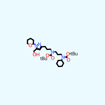 CC(C)(C)OC(=O)N(CCCc1cc(CO)n(C2CCCCO2)n1)CCCN(C(=O)OC(C)(C)C)C1CCCCC1